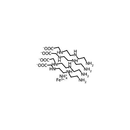 NCCNCCNCC(=O)[O-].NCCNCCNCC(=O)[O-].NCCNCCNCC(=O)[O-].NCCNCCNCC(=O)[O-].[Fe+3].[NH4+]